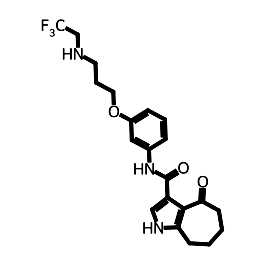 O=C(Nc1cccc(OCCCNCC(F)(F)F)c1)c1c[nH]c2c1C(=O)CCCC2